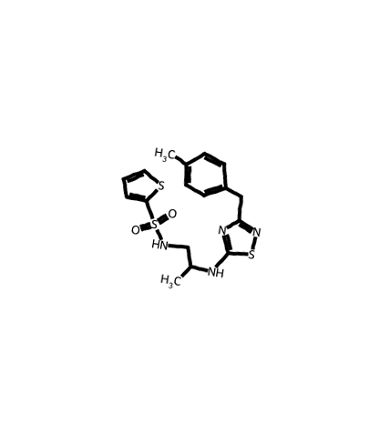 Cc1ccc(Cc2nsc(NC(C)CNS(=O)(=O)c3cccs3)n2)cc1